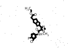 CCOC(=O)CC1CC2CC(c3ncn(C)c3C(=O)Nc3ccc(F)c(Cl)c3)CC2C1